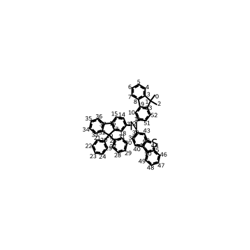 CC1(C)c2ccccc2-c2cc(N(c3ccc4c(c3)C(c3ccccc3)(c3ccccc3)c3ccccc3-4)c3ccc4c(c3)sc3ccccc34)ccc21